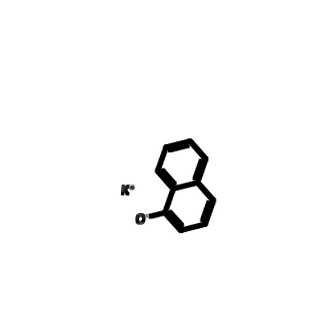 [K+].[O-]c1cccc2ccccc12